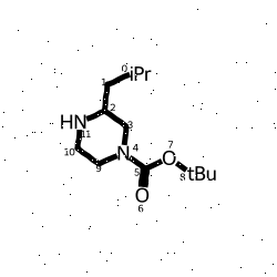 CC(C)CC1CN(C(=O)OC(C)(C)C)CCN1